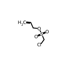 C=CCOS(=O)(=O)CCl